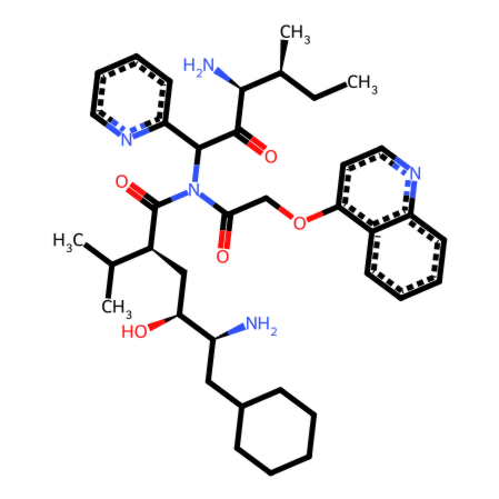 CC[C@H](C)[C@H](N)C(=O)C(c1ccccn1)N(C(=O)COc1ccnc2ccccc12)C(=O)[C@@H](C[C@H](O)[C@@H](N)CC1CCCCC1)C(C)C